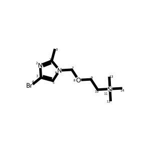 Cc1nc(Br)cn1COCC[Si](C)(C)C